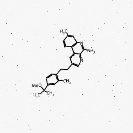 COC(C)(C)c1ccc(CCc2cnc3c(N)nc4cc(C)ccc4c3c2)c(C)c1